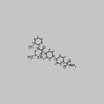 CC(C)CN(c1ccccc1Cl)S(=O)(=O)c1ccc(-c2ccc(S(N)(=O)=O)cc2)cc1